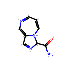 NC(=O)C1N=CC2=CN=CC=CN21